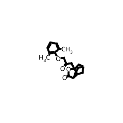 Cc1cccc(C)c1OCC(=O)CC12CC3CC(C(=O)O1)C2C3